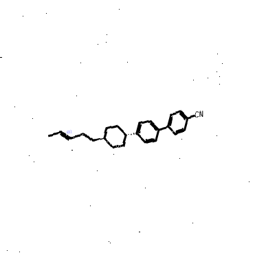 C/C=C/CC[C@H]1CC[C@H](c2ccc(-c3ccc(C#N)cc3)cc2)CC1